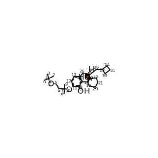 CC(C)(C)OCCC(C)(C)Oc1ccc2c(c1O)[C@@]13CCCC[C@@]1(O)[C@@H](C2)N(CC1CCC1)CC3